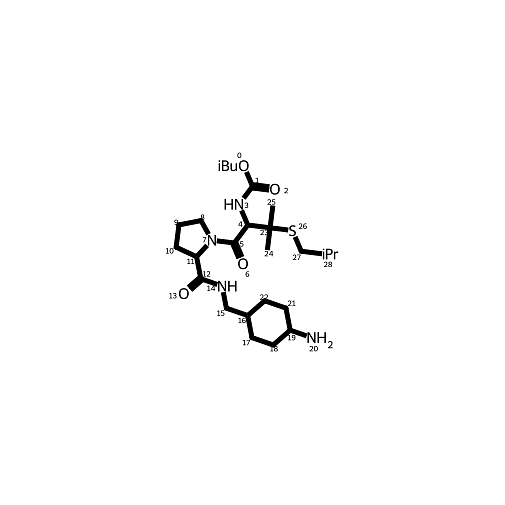 CC(C)COC(=O)NC(C(=O)N1CCCC1C(=O)NCC1CCC(N)CC1)C(C)(C)SCC(C)C